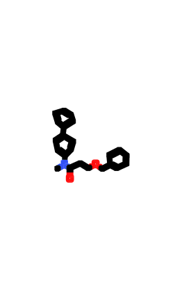 CN(C(=O)CCOCc1ccccc1)c1ccc(-c2ccccc2)cc1